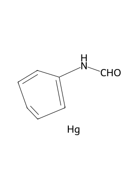 O=CNc1ccccc1.[Hg]